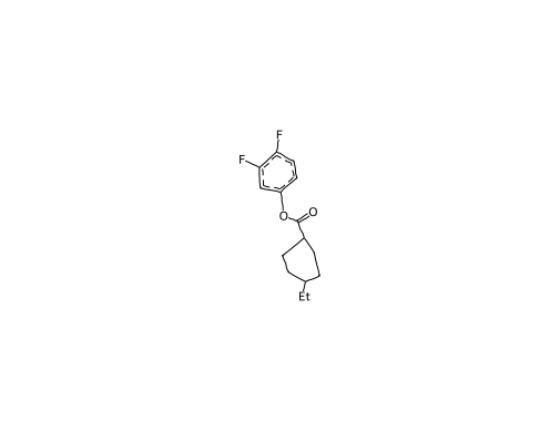 CCC1CCC(C(=O)Oc2ccc(F)c(F)c2)CC1